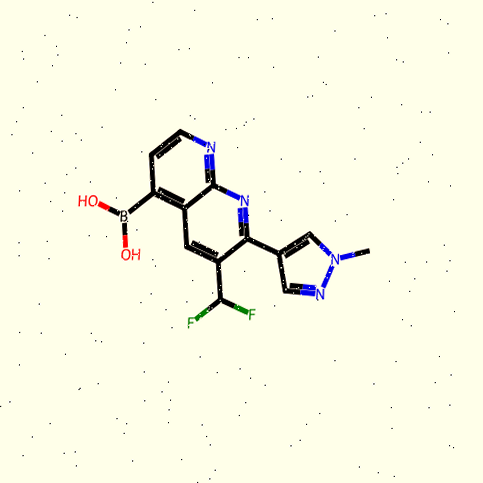 Cn1cc(-c2nc3nccc(B(O)O)c3cc2C(F)F)cn1